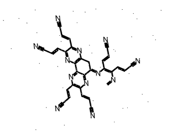 C=NC(/C=C/C#N)=C(/C=C/C#N)\N=C1/Cc2nc(/C=C/C#N)c(/C=C/C#N)nc2-c2nc(/C=C/C#N)c(/C=C/C#N)nc21